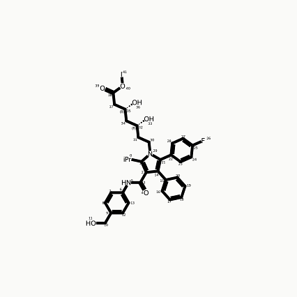 CC(C)c1c(C(=O)Nc2ccc(CO)cc2)c(-c2ccccc2)c(-c2ccc(F)cc2)n1CC[C@@H](O)C[C@@H](O)CC(=O)OI